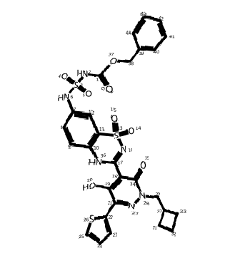 O=C(NS(=O)(=O)Nc1ccc2c(c1)S(=O)(=O)N=C(c1c(O)c(-c3cccs3)nn(CC3CCC3)c1=O)N2)OCc1ccccc1